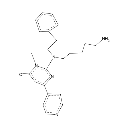 Cn1c(N(CCCCCN)CCc2ccccc2)nc(-c2ccncc2)cc1=O